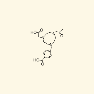 CC(=O)CN1CCN(CC(=O)O)CCN(Cc2ccc(C(=O)O)cc2)CC1